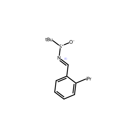 CC(C)c1ccccc1/C=N/[S+]([O-])C(C)(C)C